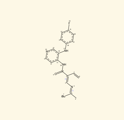 C=C/C(=C\N=C(\C)C(C)CC)C(=O)Nc1ccncc1Nc1ccc(F)cc1